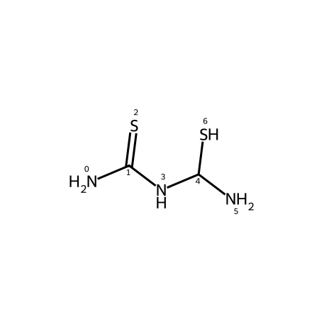 NC(=S)NC(N)S